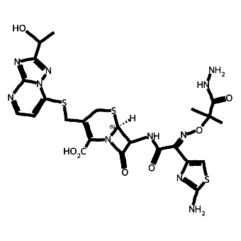 CC(O)c1nc2nccc(SCC3=C(C(=O)O)N4C(=O)C(NC(=O)C(=NOC(C)(C)C(=O)NN)c5csc(N)n5)[C@@H]4SC3)n2n1